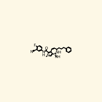 Cn1cc2c(c1C(=O)Nc1ccc(F)c(C#N)c1)C=CC(CCCc1ccccc1)NS2=N